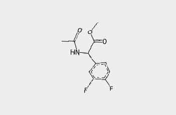 COC(=O)C(NC(C)=O)c1ccc(F)c(F)c1